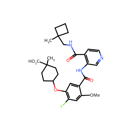 COc1cc(F)c(OC2CCC(C)(C(=O)O)CC2)cc1C(=O)Nc1cnccc1C(=O)NCC1(C)CCC1